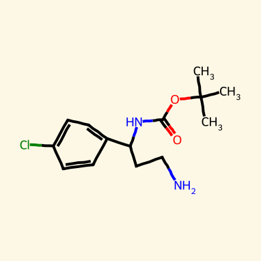 CC(C)(C)OC(=O)NC(CCN)c1ccc(Cl)cc1